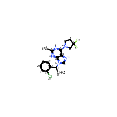 CC(C)(C)c1nc(N2CCC(F)(F)C2)c2ncn(C(C=O)c3ccccc3Cl)c2n1